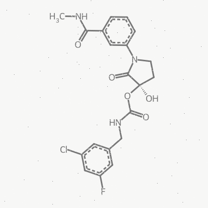 CNC(=O)c1cccc(N2CC[C@@](O)(OC(=O)NCc3cc(F)cc(Cl)c3)C2=O)c1